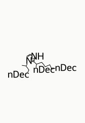 CCCCCCCCCCCCCCC(CCCCCCCCCC)c1[nH]cc[n+]1C(C)CCCCCCCCCCC